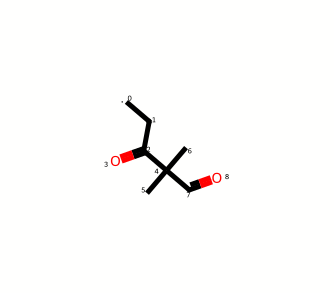 [CH2]CC(=O)C(C)(C)C=O